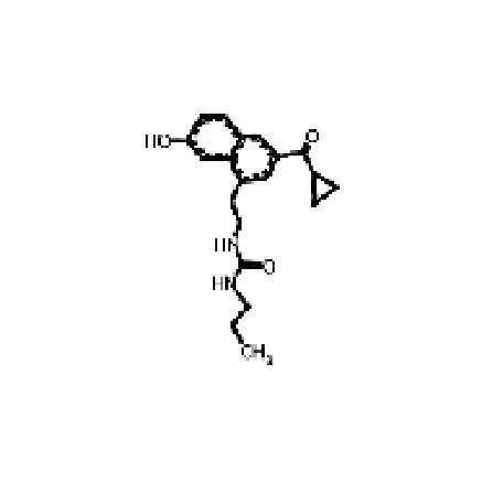 CCCNC(=O)NCCc1cc(C(=O)C2CC2)cc2ccc(O)cc12